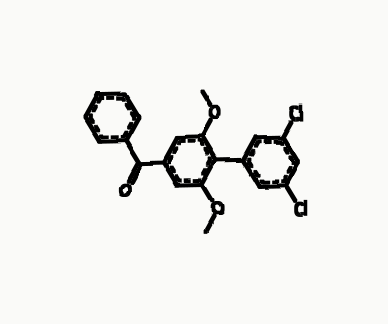 COc1cc(C(=O)c2ccccc2)cc(OC)c1-c1cc(Cl)cc(Cl)c1